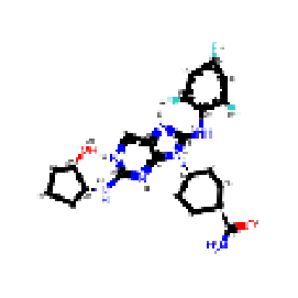 NC(=O)[C@H]1CC[C@H](n2c(Nc3c(F)cc(F)cc3F)nc3cnc(N[C@@H]4CCC[C@H]4O)nc32)CC1